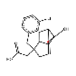 O=C(O)CC1(Cc2cccc(Cl)c2)CC2=CC(O)C3CC2C1C3